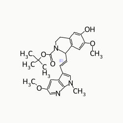 COc1cnc2c(c1)c(/C=C/C1c3cc(OC)c(O)cc3CCN1C(=O)OC(C)(C)C)cn2C